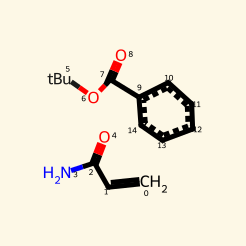 C=CC(N)=O.CC(C)(C)OC(=O)c1ccccc1